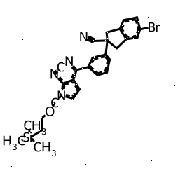 C[Si](C)(C)CCOCn1ccc2c(-c3cccc(C4(C#N)Cc5ccc(Br)cc5C4)c3)ncnc21